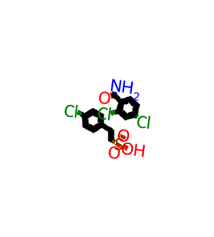 NC(=O)c1ccc(Cl)cc1Cl.O=S(=O)(O)/C=C/c1ccc(Cl)cc1